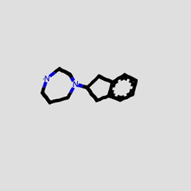 c1ccc2c(c1)CC(N1CCC[N]CC1)C2